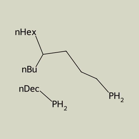 CCCCCCC(CCCC)CCCP.CCCCCCCCCCP